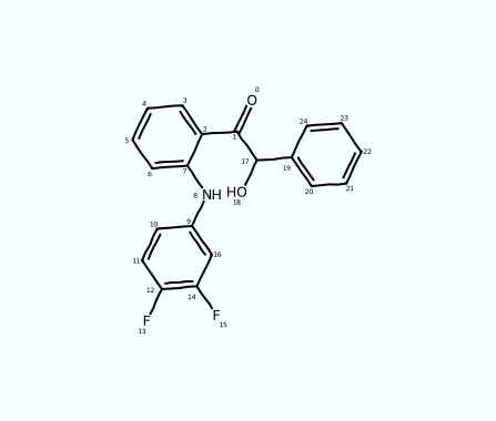 O=C(c1ccccc1Nc1ccc(F)c(F)c1)C(O)c1ccccc1